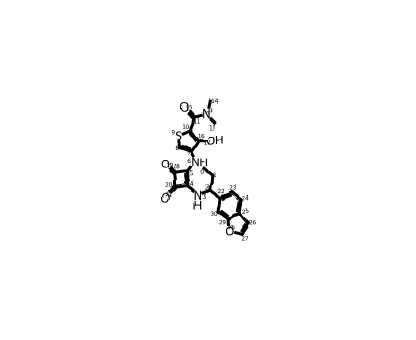 CCC(Nc1c(Nc2csc(C(=O)N(C)C)c2O)c(=O)c1=O)c1ccc2ccoc2c1